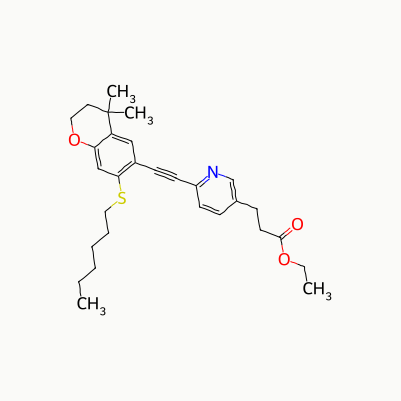 CCCCCCSc1cc2c(cc1C#Cc1ccc(CCC(=O)OCC)cn1)C(C)(C)CCO2